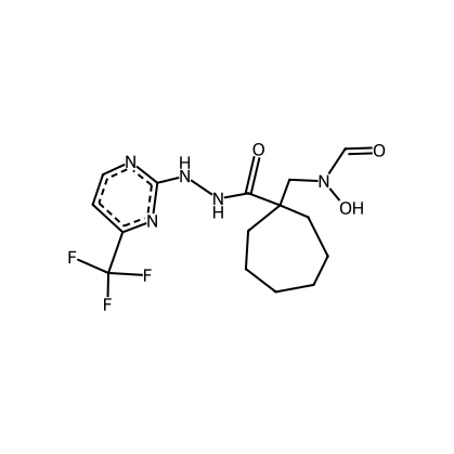 O=CN(O)CC1(C(=O)NNc2nccc(C(F)(F)F)n2)CCCCCC1